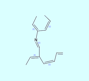 C=C\C=C/C(/C=N/C(/C=C\C)=C/C)=C\C